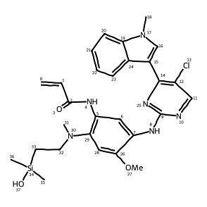 C=CC(=O)Nc1cc(Nc2ncc(Cl)c(-c3cn(C)c4ccccc34)n2)c(OC)cc1N(C)CC[Si](C)(C)O